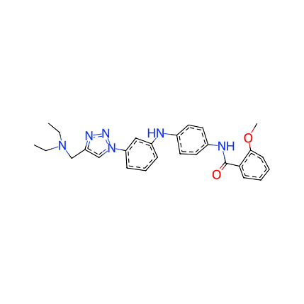 CCN(CC)Cc1cn(-c2cccc(Nc3ccc(NC(=O)c4ccccc4OC)cc3)c2)nn1